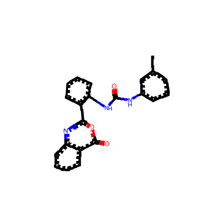 Cc1cccc(NC(=O)Nc2ccccc2-c2nc3ccccc3c(=O)o2)c1